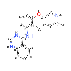 Cc1ccc(Oc2cccc(Nc3ncnc4ccc[c]c34)c2C)cn1